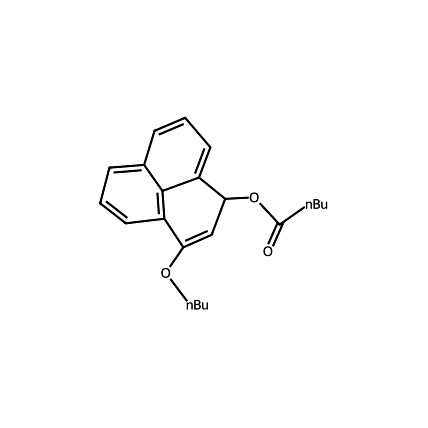 CCCCOC1=CC(OC(=O)CCCC)c2cccc3cccc1c23